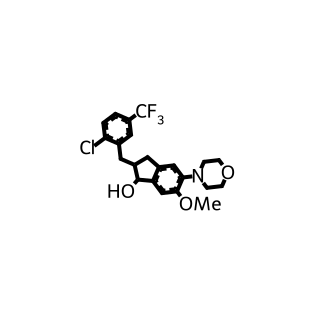 COc1cc2c(cc1N1CCOCC1)CC(Cc1cc(C(F)(F)F)ccc1Cl)C2O